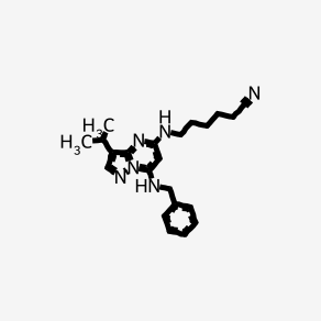 CC(C)c1cnn2c(NCc3ccccc3)cc(NCCCCCC#N)nc12